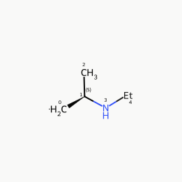 [CH2][C@@H](C)NCC